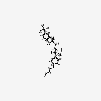 CCCCCc1ccc(S(=O)(=O)NCCc2nc3cc(C(C)(C)C)ccc3o2)cc1